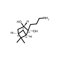 CC1(C)[C@@H]2C[C@H]1[C@](O)(CCCN)[C@@H](O)C2